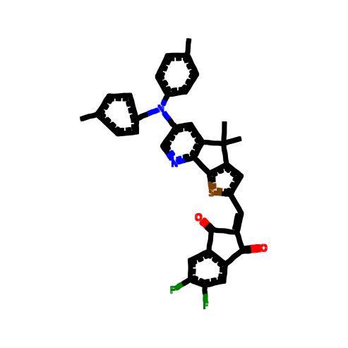 Cc1ccc(N(c2ccc(C)cc2)c2cnc3c(c2)C(C)(C)c2cc(C=C4C(=O)c5cc(F)c(F)cc5C4=O)sc2-3)cc1